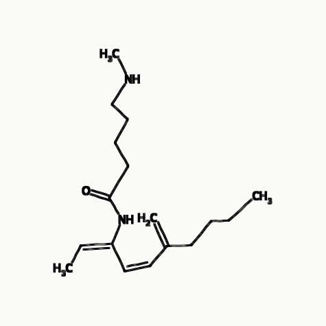 C=C(/C=C\C(=C/C)NC(=O)CCCCNC)CCCC